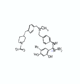 CCC(=O)N1CCC(Cc2ccc(CN(C)Cc3ccc(N/C(=N\N)c4cc(C(C)C)c(O)cc4O)cc3)cc2)CC1